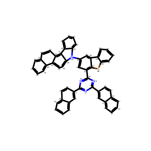 c1ccc2cc(-c3nc(-c4ccc5ccccc5c4)nc(-c4cc(-n5c6ccccc6c6c7ccc8ccccc8c7ccc65)cc5c4sc4ccccc45)n3)ccc2c1